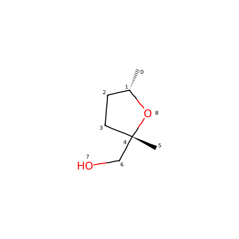 C[C@H]1CC[C@@](C)(CO)O1